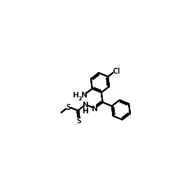 CSC(=S)NN=C(c1ccccc1)c1cc(Cl)ccc1N